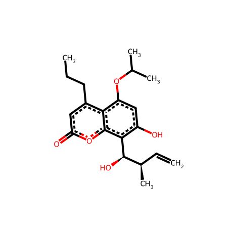 C=C[C@@H](C)[C@@H](O)c1c(O)cc(OC(C)C)c2c(CCC)cc(=O)oc12